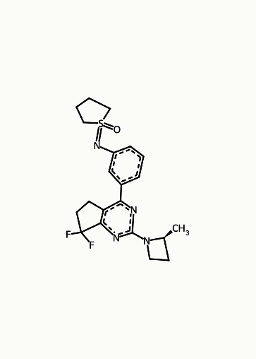 C[C@H]1CCN1c1nc(-c2cccc(N=S3(=O)CCCC3)c2)c2c(n1)C(F)(F)CC2